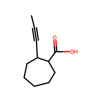 CC#CC1CCCCCC1C(=O)O